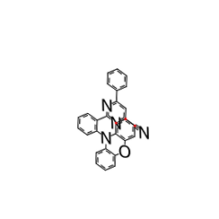 N#Cc1cc(-c2ccccc2)nc(-c2ccccc2N2c3ccccc3Oc3ccccc32)n1